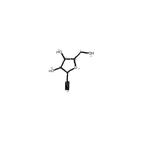 C#CC1OC(CO)C(O)C1O